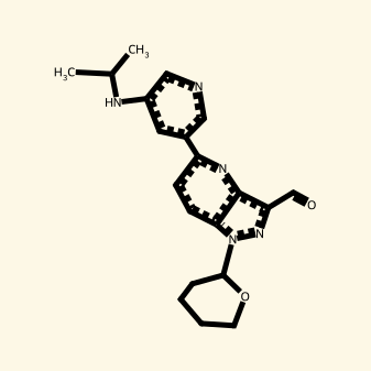 CC(C)Nc1cncc(-c2ccc3c(n2)c(C=O)nn3C2CCCCO2)c1